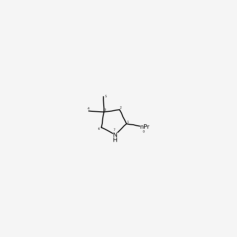 CCCC1CC(C)(C)CN1